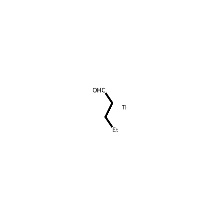 CCCCC=O.[Tl]